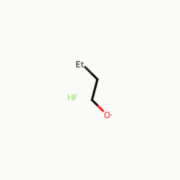 CCCC[O].F